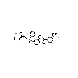 CN(C)CCC(Oc1ccc2c(=O)c(-c3cccc(C(F)(F)F)c3)coc2c1)c1ccccc1